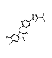 Cn1c(=O)n(Cc2ccc(-c3nnc(C(F)F)o3)cn2)c2cc(F)c(Br)cc21